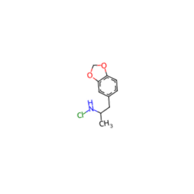 CC(Cc1ccc2c(c1)OCO2)NCl